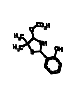 CC1(C)SC(c2ccccc2O)NC1OC(=O)O